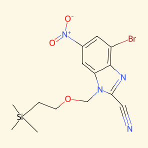 C[Si](C)(C)CCOCn1c(C#N)nc2c(Br)cc([N+](=O)[O-])cc21